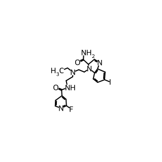 CCN(CCNC(=O)c1ccnc(F)c1)CCN1c2ccc(I)cc2N=CC1C(N)=O